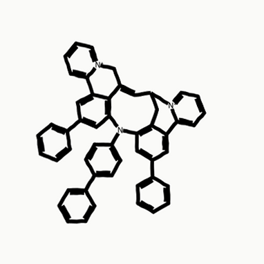 C1=C2\C[n+]3ccccc3-c3cc(-c4ccccc4)cc(c32)N(c2ccc(-c3ccccc3)cc2)c2cc(-c3ccccc3)cc3c2CC/1[n+]1ccccc1-3